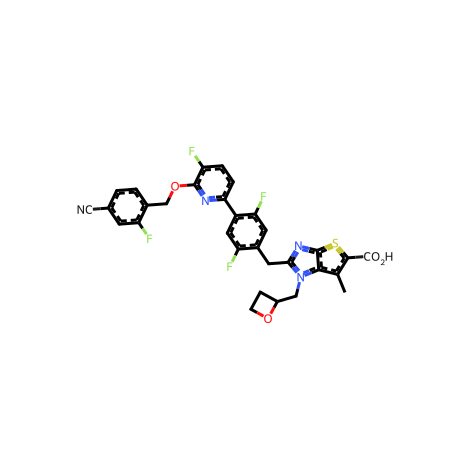 Cc1c(C(=O)O)sc2nc(Cc3cc(F)c(-c4ccc(F)c(OCc5ccc(C#N)cc5F)n4)cc3F)n(CC3CCO3)c12